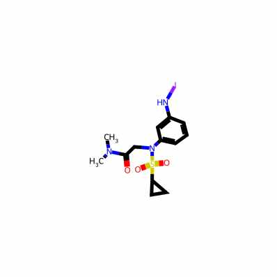 CN(C)C(=O)CN(c1cccc(NI)c1)S(=O)(=O)C1CC1